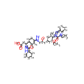 COc1cc(CC(=O)CNc2ccc(C(CC(=O)O)NC(=O)c3ccccc3)cc2)ccc1NC(=O)N(C)c1ccccc1C